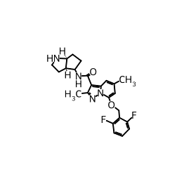 Cc1cc(OCc2c(F)cccc2F)n2nc(C)c(C(=O)NC3CC[C@@H]4NCC[C@H]34)c2c1